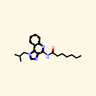 CCCCCCC(=O)Nc1nc2ccccc2c2c1ncn2CC(C)C